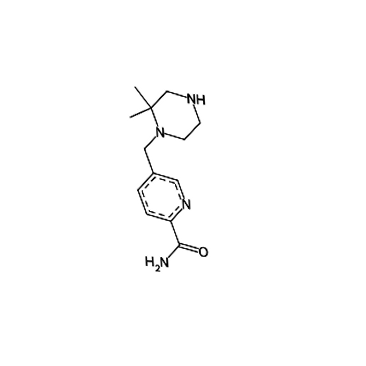 CC1(C)CNCCN1Cc1ccc(C(N)=O)nc1